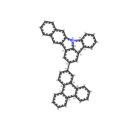 c1ccc2cc3c(cc2c1)c1cc(-c2ccc4c5ccccc5c5ccccc5c4c2)cc2c4ccccc4n3c21